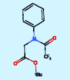 CC(C)(C)OC(=O)CN(C(=O)C(F)(F)F)c1ccccc1